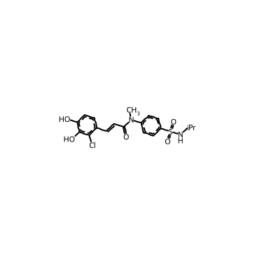 CC(C)NS(=O)(=O)c1ccc(N(C)C(=O)C=Cc2ccc(O)c(O)c2Cl)cc1